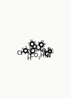 O=C(O)C1(Nc2cccc(Cl)c2)CCC2(CC1)c1ccccc1CC2C[C@H](COc1ccnc2ccsc12)c1ccccc1